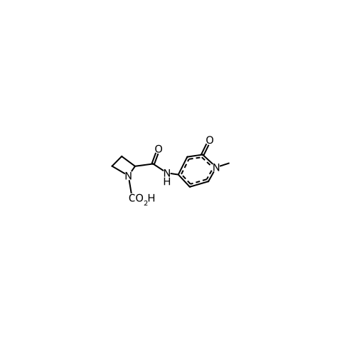 Cn1ccc(NC(=O)C2CCN2C(=O)O)cc1=O